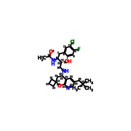 CC(=O)N[C@@H](Cc1ccc(F)c(Cl)c1)[C@H](O)CN[C@H]1CC2(CCC2)Oc2ncc(CC(C)(C)C)cc21